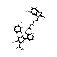 NC(=O)c1cc(-c2cccnc2[C@H](Cc2cccc(F)c2)NC(=O)CSCCn2c(=O)[nH]c3ccc(F)cc32)ccc1F